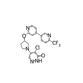 O=c1[nH]ncc(N2CC[C@@H](Oc3cc(-c4ccc(C(F)(F)F)nc4)ccn3)C2)c1Cl